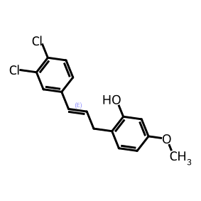 COc1ccc(C/C=C/c2ccc(Cl)c(Cl)c2)c(O)c1